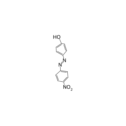 O=[N+]([O-])c1ccc(/N=N/c2ccc(O)cc2)cc1